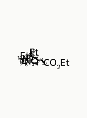 CCOC(=O)/C=C/c1ccc(-n2ccc(C)n2)c(C(CC)CC)c1